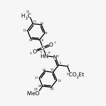 CCOC(=O)CC(=NNS(=O)(=O)c1ccc(C)cc1)c1ccc(OC)cc1